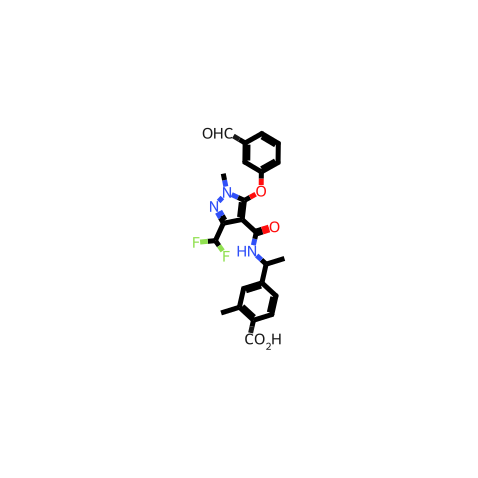 Cc1cc(C(C)NC(=O)c2c(C(F)F)nn(C)c2Oc2cccc(C=O)c2)ccc1C(=O)O